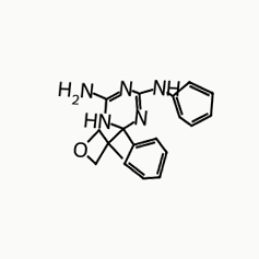 CC1(C2(c3ccccc3)N=C(Nc3ccccc3)N=C(N)N2)COC1